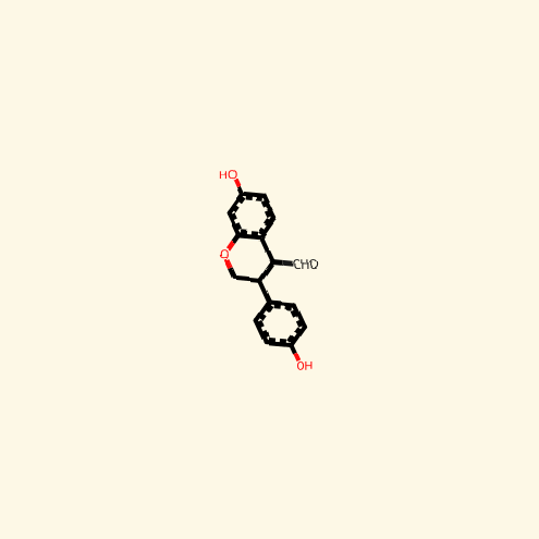 O=CC1c2ccc(O)cc2OCC1c1ccc(O)cc1